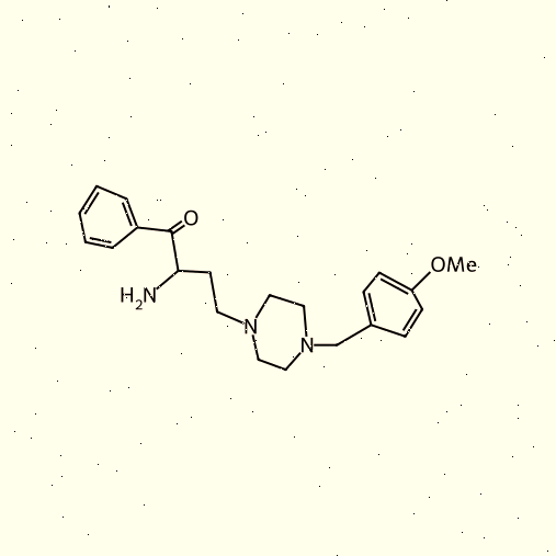 COc1ccc(CN2CCN(CCC(N)C(=O)c3ccccc3)CC2)cc1